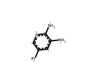 CC(C)c1cnc(N)c(N)c1